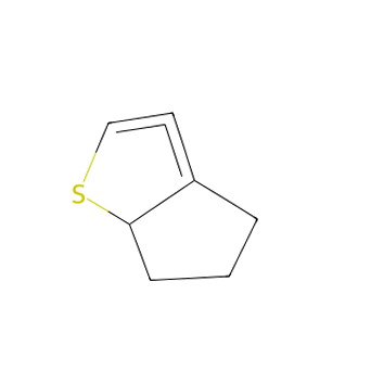 C1=CSC2CCCC=12